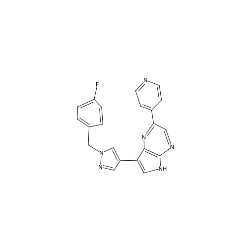 Fc1ccc(Cn2cc(-c3c[nH]c4ncc(-c5ccncc5)nc34)cn2)cc1